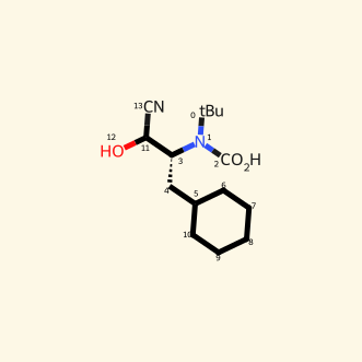 CC(C)(C)N(C(=O)O)[C@H](CC1CCCCC1)C(O)C#N